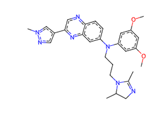 COc1cc(OC)cc(N(CCCN2C(C)=NCC2C)c2ccc3ncc(-c4cnn(C)c4)nc3c2)c1